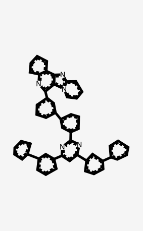 c1ccc(-c2cccc(-c3cc(-c4cccc(-c5ccccc5)c4)nc(-c4cccc(-c5cccc(-c6nc7ccccc7c7nc8ccccn8c67)c5)c4)n3)c2)cc1